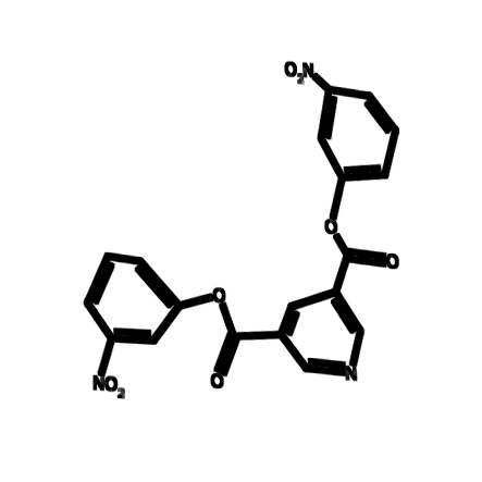 O=C(Oc1cccc([N+](=O)[O-])c1)c1cncc(C(=O)Oc2cccc([N+](=O)[O-])c2)c1